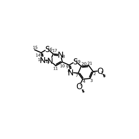 COc1cc(OC)c2nc(-c3cn4nc(C)sc4n3)sc2c1